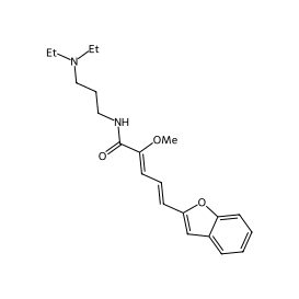 CCN(CC)CCCNC(=O)/C(=C/C=C/c1cc2ccccc2o1)OC